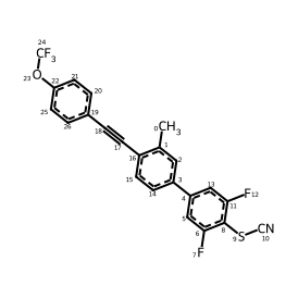 Cc1cc(-c2cc(F)c(SC#N)c(F)c2)ccc1C#Cc1ccc(OC(F)(F)F)cc1